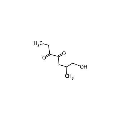 CCC(=O)C(=O)CC(C)CO